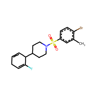 Cc1cc(S(=O)(=O)N2CCC(C3C=CCC=C3F)CC2)ccc1Br